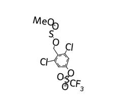 COOSOCc1c(Cl)cc(OS(=O)(=O)C(F)(F)F)cc1Cl